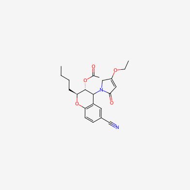 CCCC[C@@H]1Oc2ccc(C#N)cc2C(N2CC(OCC)=CC2=O)[C@H]1OC(C)=O